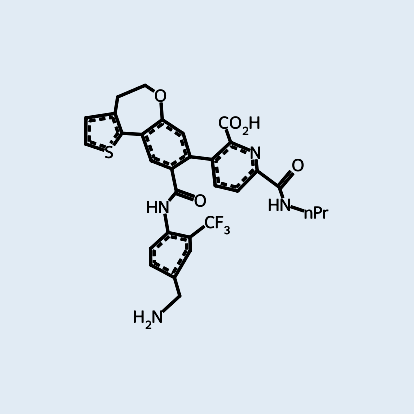 CCCNC(=O)c1ccc(-c2cc3c(cc2C(=O)Nc2ccc(CN)cc2C(F)(F)F)-c2sccc2CCO3)c(C(=O)O)n1